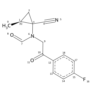 C[C@H]1CC1(C#N)N(C=O)CC(=O)c1ccc(F)cc1